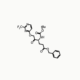 CC(C)(C)OC(=O)N[C@@H](CCC(=O)OCc1ccccc1)C(=O)COc1ccnc(C(F)(F)F)n1